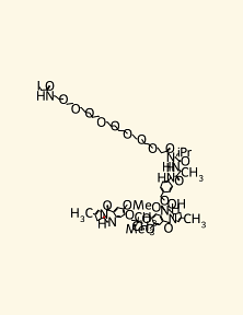 COc1cc2c(cc1OCC(C)(C)COc1cc3c(cc1OC)C(=O)N1C=C(C)C[C@H]1[C@H](O)N3C(=O)OCc1ccc(NC(=O)[C@H](C)NC(=O)[C@@H](NC(=O)CCOCCOCCOCCOCCOCCOCCOCCOCCNC(=O)CI)C(C)C)cc1)N=C[C@@H]1CC(C)=CN1C2=O